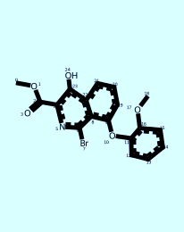 COC(=O)c1nc(Br)c2c(Oc3ccccc3OC)cccc2c1O